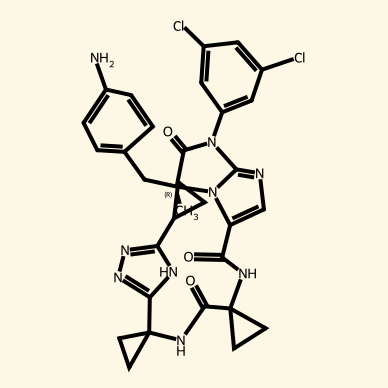 C[C@@]1(Cc2ccc(N)cc2)C(=O)N(c2cc(Cl)cc(Cl)c2)c2ncc(C(=O)NC3(C(=O)NC4(c5nnc(C6CC6)[nH]5)CC4)CC3)n21